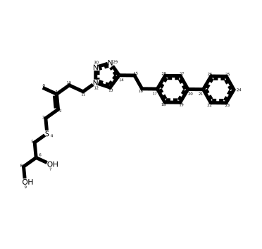 CC(=CCSCC(O)CO)CCn1cc(CCc2ccc(-c3ccccc3)cc2)nn1